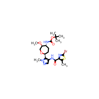 CO[C@@H]1CO[C@H](c2c(NC(=O)c3nc(Br)sc3C)cnn2C)CC[C@H]1NC(=O)OC(C)(C)C